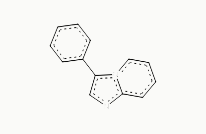 [c]1nc2ccccn2c1-c1ccccc1